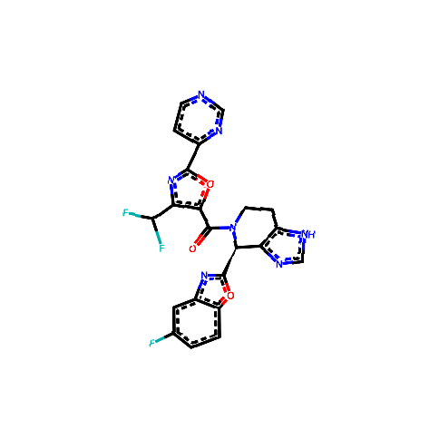 O=C(c1oc(-c2ccncn2)nc1C(F)F)N1CCc2[nH]cnc2[C@H]1c1nc2cc(F)ccc2o1